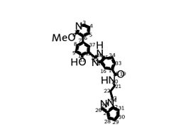 COc1ncccc1-c1ccc(O)c(-c2nc3cc(C(=O)NCCCn4ncc5ccccc54)ccc3[nH]2)c1